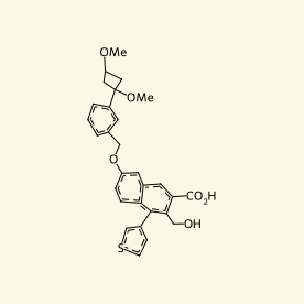 COC1CC(OC)(c2cccc(COc3ccc4c(-c5ccsc5)c(CO)c(C(=O)O)cc4c3)c2)C1